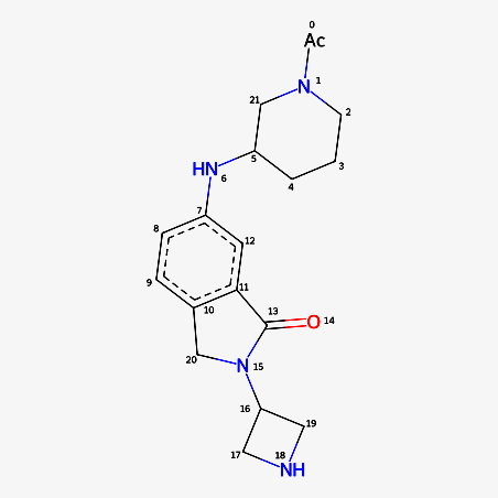 CC(=O)N1CCCC(Nc2ccc3c(c2)C(=O)N(C2CNC2)C3)C1